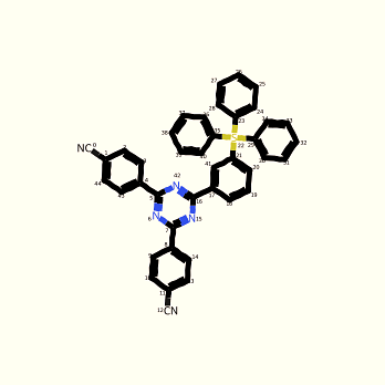 N#Cc1ccc(-c2nc(-c3ccc(C#N)cc3)nc(-c3cccc(S(c4ccccc4)(c4ccccc4)c4ccccc4)c3)n2)cc1